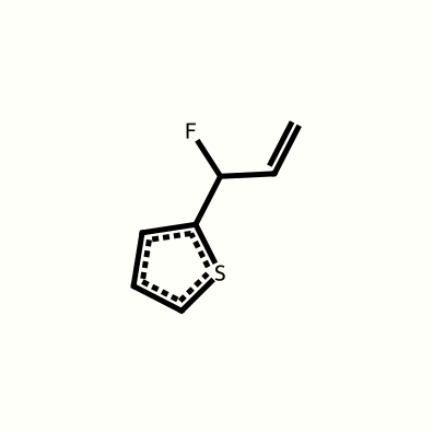 C=CC(F)c1cccs1